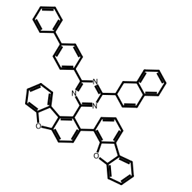 C1=CC(c2nc(-c3ccc(-c4ccccc4)cc3)nc(-c3c(-c4cccc5c4oc4ccccc45)ccc4oc5ccccc5c34)n2)Cc2ccccc21